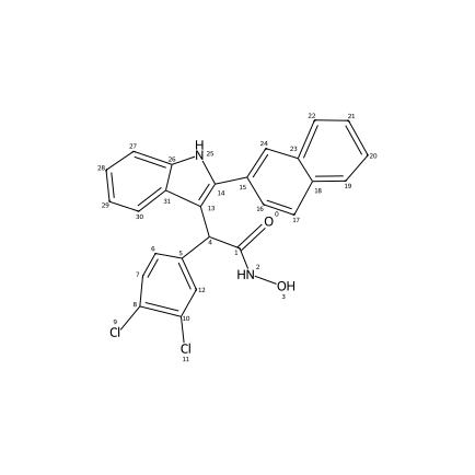 O=C(NO)C(c1ccc(Cl)c(Cl)c1)c1c(-c2ccc3ccccc3c2)[nH]c2ccccc12